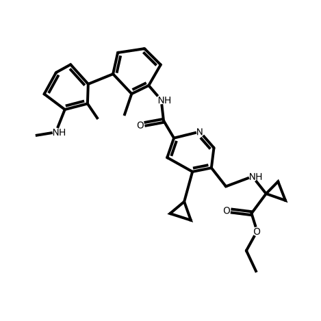 CCOC(=O)C1(NCc2cnc(C(=O)Nc3cccc(-c4cccc(NC)c4C)c3C)cc2C2CC2)CC1